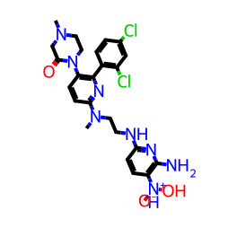 CN1CCN(c2ccc(N(C)CCNc3ccc([NH+]([O-])O)c(N)n3)nc2-c2ccc(Cl)cc2Cl)C(=O)C1